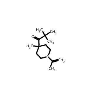 C=C(C)N1CCC(C)(C(=O)C(C)(C)C)CC1